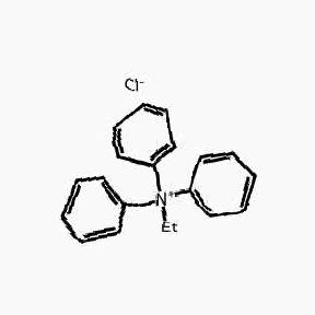 CC[N+](c1ccccc1)(c1ccccc1)c1ccccc1.[Cl-]